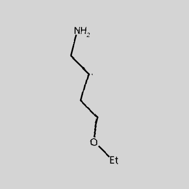 CCOCC[CH]CN